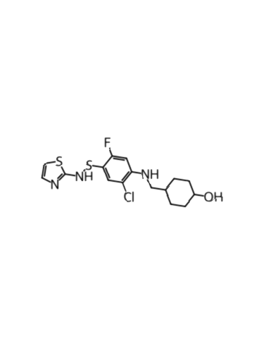 OC1CCC(CNc2cc(F)c(SNc3nccs3)cc2Cl)CC1